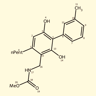 CCCCCc1cc(O)c(-c2cccc(C)c2)c(O)c1CNC(=O)OC